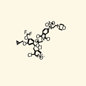 CS(=O)(=O)N(CCN1CCOCC1)c1ccc2c(c1)C(=O)N(CC(=O)O[C@@H](Cc1c(Cl)c[n+]([O-])cc1Cl)c1ccc(OC(F)F)c(OCC3CC3)c1)C2=O